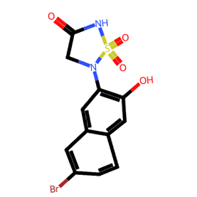 O=C1CN(c2cc3cc(Br)ccc3cc2O)S(=O)(=O)N1